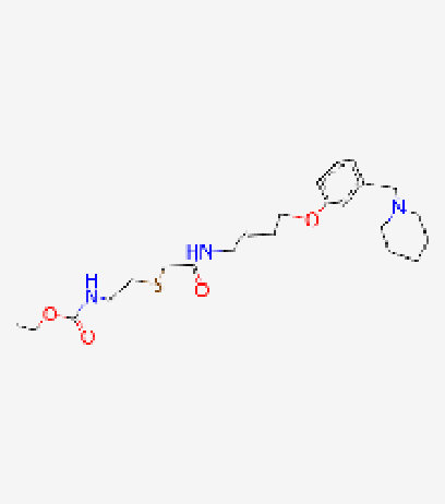 CCOC(=O)NCCSCC(=O)NCC=CCOc1cccc(CN2CCCCC2)c1